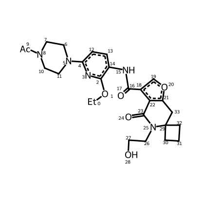 CCOc1nc(N2CCN(C(C)=O)CC2)ccc1NC(=O)c1coc2c1C(=O)N(CCO)C1(CCC1)C2